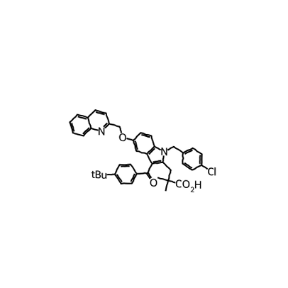 CC(C)(Cc1c(C(=O)c2ccc(C(C)(C)C)cc2)c2cc(OCc3ccc4ccccc4n3)ccc2n1Cc1ccc(Cl)cc1)C(=O)O